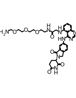 NCOCCOCCOCCNC(=O)CNc1cccc2ncnc(Nc3ccc4c(c3)C(=O)N(C3CCC(=O)NC3=O)C4)c12